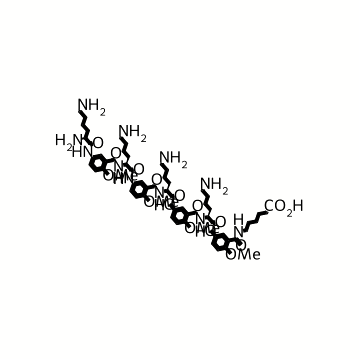 COc1ccc(OC(=O)[C@H](CCCCN)NC(=O)c2cc(OC(=O)[C@H](CCCCN)NC(=O)c3cc(NC(=O)[C@H](CCCCN)NC(=O)c4cc(NC(=O)[C@@H](N)CCCCN)ccc4OC)ccc3OC)ccc2OC)cc1C(=O)NCCCCCC(=O)O